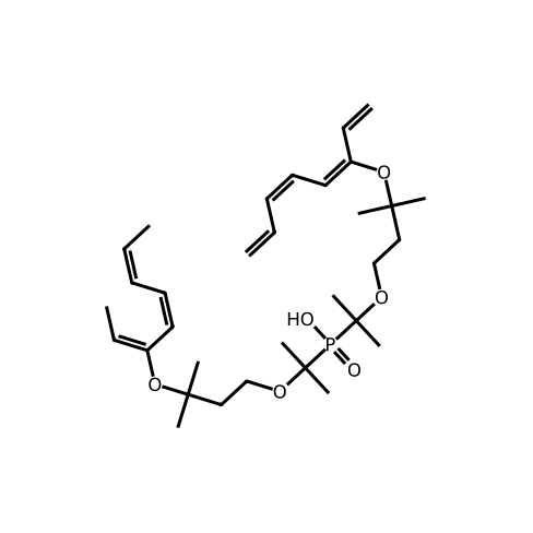 C=C/C=C\C=C(/C=C)OC(C)(C)CCOC(C)(C)P(=O)(O)C(C)(C)OCCC(C)(C)OC(/C=C\C=C/C)=C/C